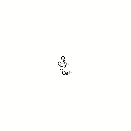 [Ce+3].[O-2].[O-2].[O]=[Y+]